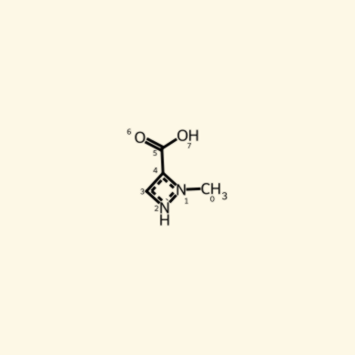 Cn1[nH]cc1C(=O)O